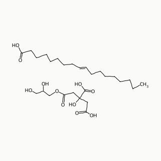 CCCCCCCCC=CCCCCCCCC(=O)O.O=C(O)CC(O)(CC(=O)OCC(O)CO)C(=O)O